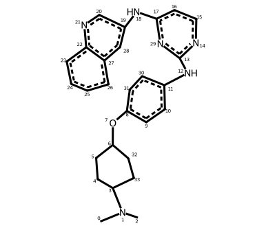 CN(C)C1CCC(Oc2ccc(Nc3nccc(Nc4cnc5ccccc5c4)n3)cc2)CC1